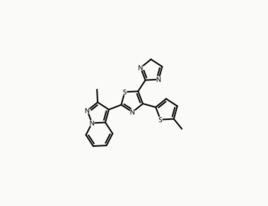 Cc1ccc(-c2nc(-c3c(C)nn4ccccc34)sc2C2=NCC=N2)s1